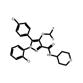 O=C(NC1CCOCC1)c1nn(-c2ccccc2Cl)c(-c2ccc(Cl)cc2)c1OC(F)F